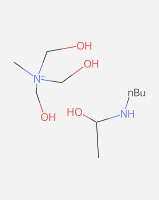 CCCCNC(C)O.C[N+](CO)(CO)CO